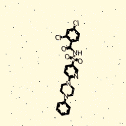 O=C(NS(=O)(=O)c1ccc(N2CCN(c3ccccc3)CC2)nc1)c1ccc(Cl)cc1Cl